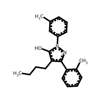 CCCCc1c(-c2ccccc2C)nn(-c2cccc(C)c2)c1O